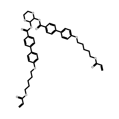 C=CC(=O)OCCCCCOc1ccc(-c2ccc(C(=O)OC3OCCOC3OC(=O)c3ccc(-c4ccc(OCCCCCOC(=O)C=C)cc4)cc3)cc2)cc1